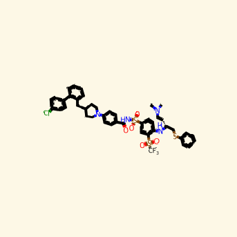 CN(C)CC[C@H](CSc1ccccc1)Nc1ccc(S(=O)(=O)NC(=O)c2ccc(N3CCC(Cc4ccccc4-c4ccc(Cl)cc4)CC3)cc2)cc1S(=O)(=O)C(F)(F)F